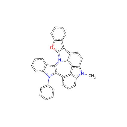 Cn1c2cccc3c2c2c1ccc1c4c5ccccc5oc4n(c12)c1c2ccccc2n(-c2ccccc2)c31